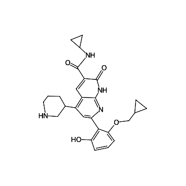 O=C(NC1CC1)c1cc2c(C3CCCNC3)cc(-c3c(O)cccc3OCC3CC3)nc2[nH]c1=O